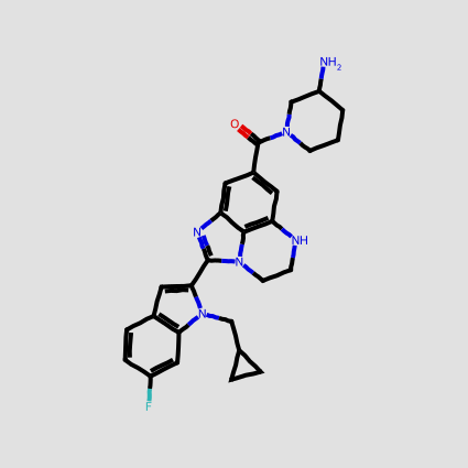 NC1CCCN(C(=O)c2cc3c4c(c2)nc(-c2cc5ccc(F)cc5n2CC2CC2)n4CCN3)C1